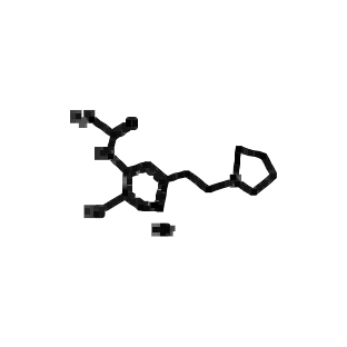 Br.NC(=O)Nc1cc(CCN2CCCC2)ccc1O